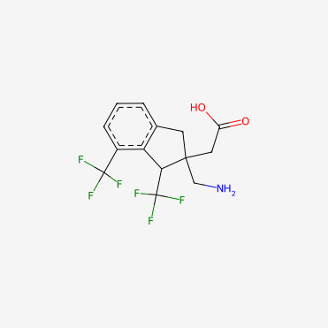 NCC1(CC(=O)O)Cc2cccc(C(F)(F)F)c2C1C(F)(F)F